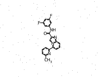 Cc1cccc(-c2cccc3nc(C(=O)Nc4cc(F)cc(F)c4)cn23)n1